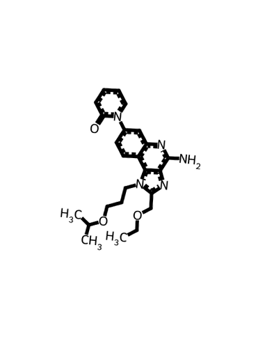 CCOCc1nc2c(N)nc3cc(-n4ccccc4=O)ccc3c2n1CCCOC(C)C